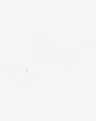 CC(C)(C)OC(=O)N1C2CC(F)[C@H]1CN(c1nc(OC[C@@]34CCCN3C[C@H](F)C4)nc3scnc13)C2